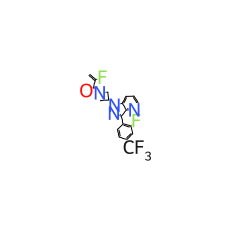 C=C(F)C(=O)N1CC(n2nc(-c3ccc(C(F)(F)F)cc3F)c3ncccc32)C1